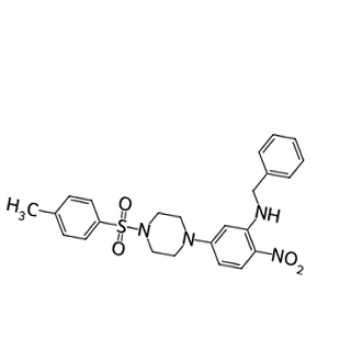 Cc1ccc(S(=O)(=O)N2CCN(c3ccc([N+](=O)[O-])c(NCc4ccccc4)c3)CC2)cc1